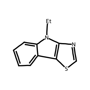 CCn1c2ccccc2c2scnc21